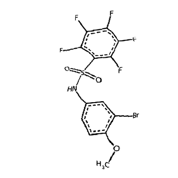 COc1ccc(NS(=O)(=O)c2c(F)c(F)c(F)c(F)c2F)cc1Br